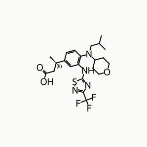 CC(C)CN(c1ccc([C@H](C)CC(=O)O)cc1Nc1nc(C(F)(F)F)ns1)C1CCOCC1